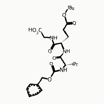 CC(C)[C@H](NC(=O)OCc1ccccc1)C(=O)N[C@@H](CCC(=O)OC(C)(C)C)C(=O)NCC(=O)O